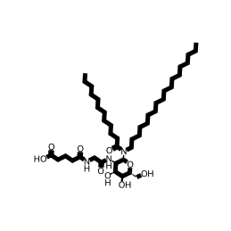 CCCCCCCCCCCCCCCCCCN(C(=O)CCCCCCCCCCC)[C@@H]1O[C@H](CO)[C@@H](O)[C@H](O)[C@@H]1NC(=O)CNC(=O)CCCC(=O)O